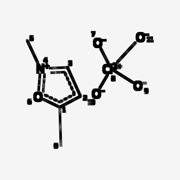 Cc1cc[n+](C)o1.[O-][Cl+3]([O-])([O-])[O-]